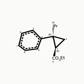 CCOC(=O)[C@@H]1C[C@@]1(c1ccccc1)C(C)C